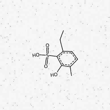 CCc1ccc(C)c(O)c1S(=O)(=O)O